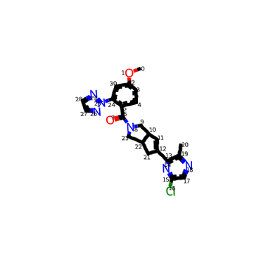 COc1ccc(C(=O)N2CC3C=C(c4nc(Cl)cnc4C)CC3C2)c(-n2nccn2)c1